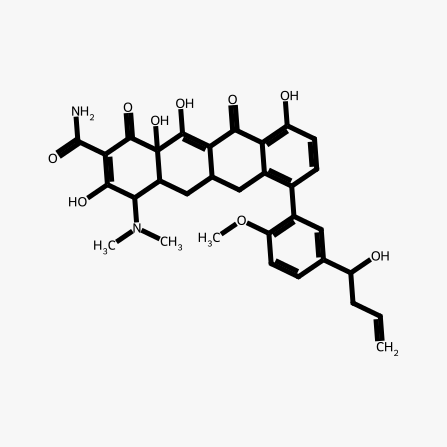 C=CCC(O)c1ccc(OC)c(-c2ccc(O)c3c2CC2CC4C(N(C)C)C(O)=C(C(N)=O)C(=O)C4(O)C(O)=C2C3=O)c1